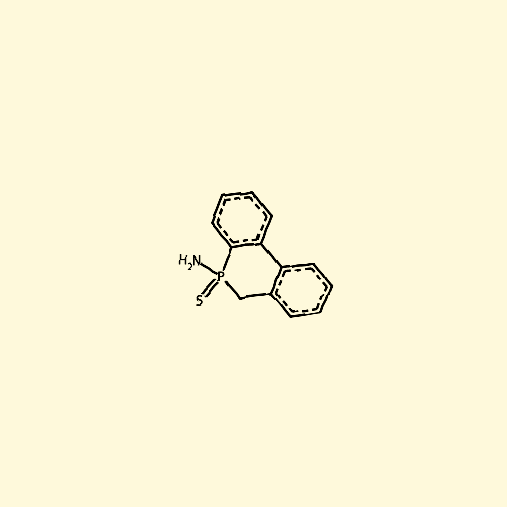 NP1(=S)Cc2ccccc2-c2ccccc21